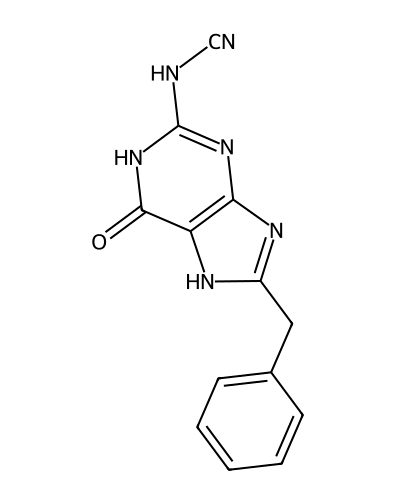 N#CNc1nc2nc(Cc3ccccc3)[nH]c2c(=O)[nH]1